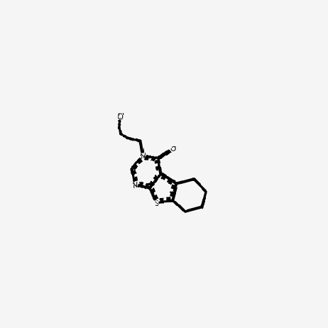 O=c1c2c3c(sc2ncn1CCCl)CCCC3